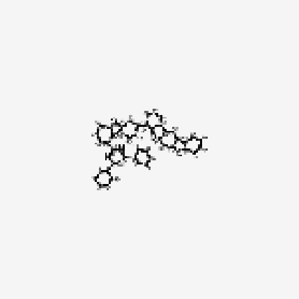 c1ccc(-c2nc(-c3ccccc3)nc(-c3cccc4oc5cc(-c6cccc7c6oc6cc8oc9ccccc9c8cc67)ccc5c34)n2)cc1